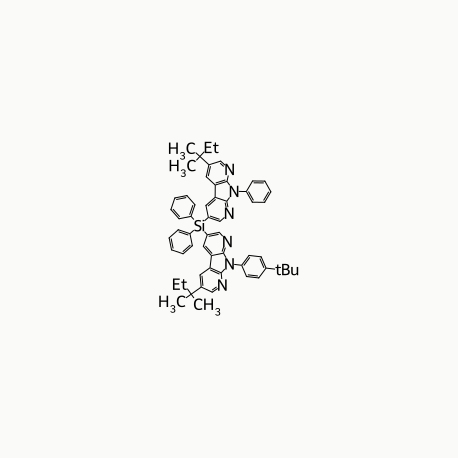 CCC(C)(C)c1cnc2c(c1)c1cc([Si](c3ccccc3)(c3ccccc3)c3cnc4c(c3)c3cc(C(C)(C)CC)cnc3n4-c3ccc(C(C)(C)C)cc3)cnc1n2-c1ccccc1